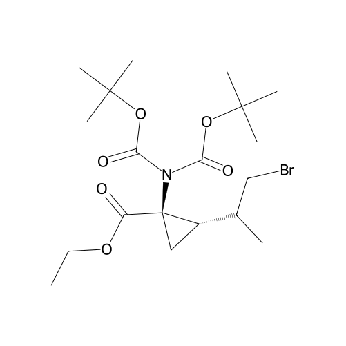 CCOC(=O)[C@@]1(N(C(=O)OC(C)(C)C)C(=O)OC(C)(C)C)C[C@H]1C(C)CBr